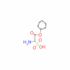 NC(C(=O)Oc1ccccc1)S(=O)(=O)O